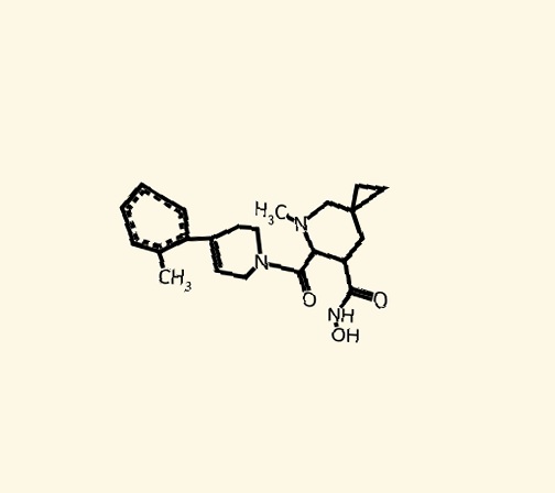 Cc1ccccc1C1=CCN(C(=O)C2C(C(=O)NO)CC3(CC3)CN2C)CC1